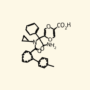 Cc1ccc(-c2ccccc2C(=O)N(C2CC2)C(C(N)=O)(C2=CC=CCC2)C2=COC(C(=O)O)=CO2)cc1